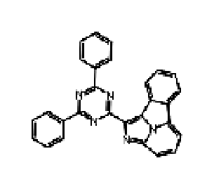 c1ccc(-c2nc(-c3ccccc3)nc(-c3nc4cccc5c6ccccc6c3n45)n2)cc1